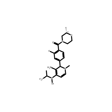 CCN(C1=C(N)C(c2ccc(C(=O)N3CCO[C@@H](C)C3)c(F)c2)N(C)C=C1)C(C)C(F)(F)F